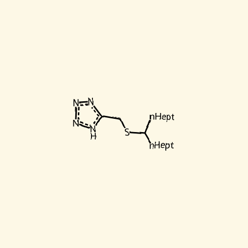 CCCCCCCC(CCCCCCC)SCc1nnn[nH]1